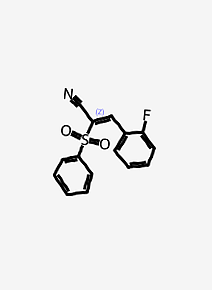 N#C/C(=C/c1ccccc1F)S(=O)(=O)c1ccccc1